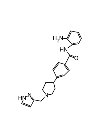 Nc1ccccc1NC(=O)c1ccc(C2CCN(Cc3cc[nH]n3)CC2)cc1